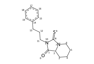 O=C1C2CCCCN2C(=S)N1CCCc1ccccc1